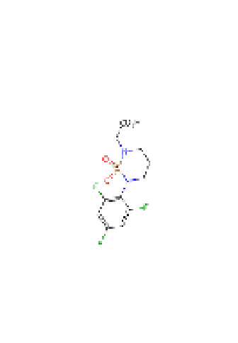 O=C(O)CN1CCCN(c2c(F)cc(F)cc2F)S1(=O)=O